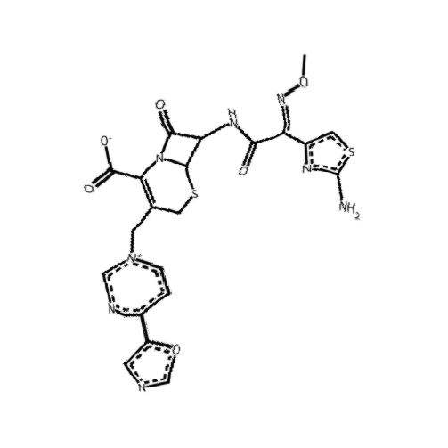 CON=C(C(=O)NC1C(=O)N2C(C(=O)[O-])=C(C[n+]3ccc(-c4cnco4)nc3)CSC12)c1csc(N)n1